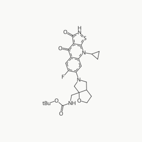 CC(C)(C)OC(=O)NCC12CN(c3cc4c(cc3F)c(=O)c3c(=O)[nH]sc3n4C3CC3)CC1CCO2